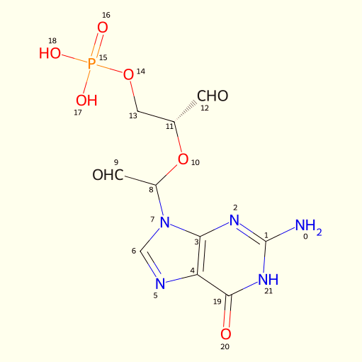 Nc1nc2c(ncn2C(C=O)O[C@@H](C=O)COP(=O)(O)O)c(=O)[nH]1